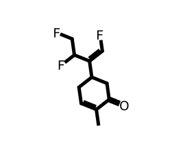 CC1=CCC(C(=CF)C(F)CF)CC1=O